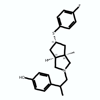 CC(CN1C[C@H]2C[C@H](Sc3ccc(F)cc3)C[C@@]2(C)C1)c1ccc(O)cc1